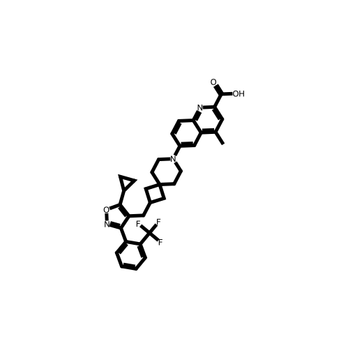 Cc1cc(C(=O)O)nc2ccc(N3CCC4(CC3)CC(Cc3c(-c5ccccc5C(F)(F)F)noc3C3CC3)C4)cc12